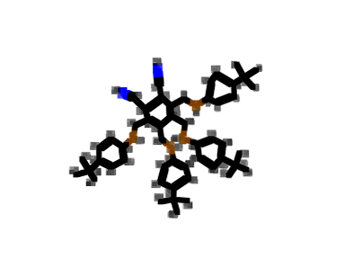 CC(C)(C)c1ccc(SCc2c(C#N)c(C#N)c(CSc3ccc(C(C)(C)C)cc3)c(CSc3ccc(C(C)(C)C)cc3)c2CSc2ccc(C(C)(C)C)cc2)cc1